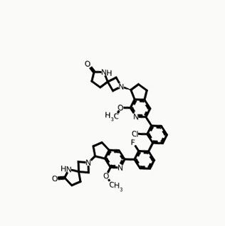 COc1nc(-c2cccc(-c3cccc(-c4cc5c(c(OC)n4)[C@@H](N4CC6(CCC(=O)N6)C4)CC5)c3Cl)c2F)cc2c1C(N1CC3(CCC(=O)N3)C1)CC2